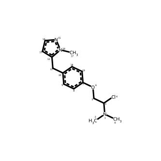 CN(C)C(Cl)COc1ccc(Cc2ccnn2C)cc1